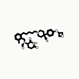 Cc1cccc(CCCCCN2CCC(C#N)(c3ccc(OC4COC4)cc3)CC2)c1CN(C=O)C1CCC(=O)NC1=O